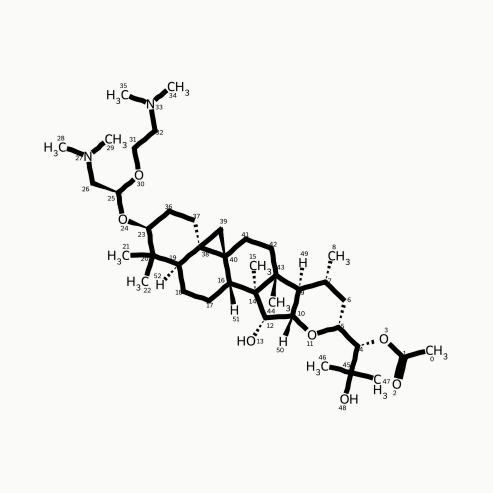 CC(=O)O[C@@H]([C@H]1C[C@@H](C)[C@H]2[C@H](O1)[C@H](O)[C@@]1(C)[C@@H]3CC[C@H]4C(C)(C)[C@@H](O[C@@H](CN(C)C)OCCN(C)C)CC[C@@]45C[C@@]35CC[C@]21C)C(C)(C)O